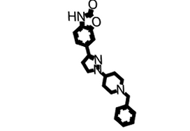 O=c1[nH]c2ccc(C3=NN(C4CCN(Cc5ccccc5)CC4)CC3)cc2o1